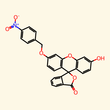 O=C1OC2(c3ccc(O)cc3Oc3cc(OCc4ccc([N+](=O)[O-])cc4)ccc32)c2ccccc21